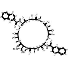 CS[C@H](S)C1C(=O)N(C)C(C(C)C)C(=O)OC[C@@H](NC(=O)c2cnc3ccccc3n2)C(=O)N[C@@H](C)C(=O)N(C)CC(=O)N(C)C(C(C)C)C(=O)OC[C@@H](NC(=O)c2cnc3ccccc3n2)C(=O)N[C@@H](C)C(=O)N1C